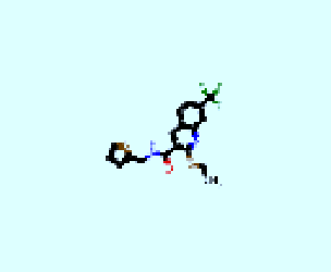 CCSc1nc2cc(C(F)(F)F)ccc2cc1C(=O)NCc1cccs1